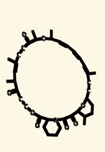 CC1=CC(C)C(=O)CCOC(=O)C2CCCCN2C(=O)C(=O)C2OC(CCC(C)=CC=CC=CC(C)CC(C)C(=O)CC1)CCC2C